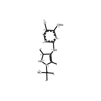 COc1nc(NC2=C(C)N(C(C)(C)C#N)NC2C)ncc1Cl